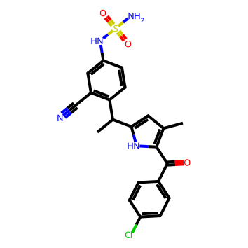 Cc1cc(C(C)c2ccc(NS(N)(=O)=O)cc2C#N)[nH]c1C(=O)c1ccc(Cl)cc1